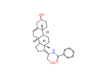 C[C@]12CC[C@H](O)CC1=CC[C@@H]1[C@@H]2CC[C@]2(C)C(=C(CO)NC(=O)c3ccccc3)CC[C@@H]12